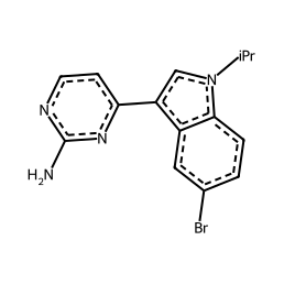 CC(C)n1cc(-c2ccnc(N)n2)c2cc(Br)ccc21